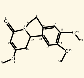 COC1=CC(=O)N2CCc3cc(OC)c(OC)cc3C2C1